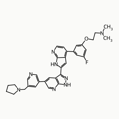 CN(C)CCOc1cc(F)cc(-c2ccnc3[nH]c(-c4n[nH]c5ncc(-c6cncc(CN7CCCC7)c6)cc45)cc23)c1